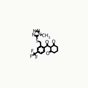 Cn1nnnc1SCc1cc(C(F)(F)F)ccc1C(=O)C1C(=O)CCCC1=O